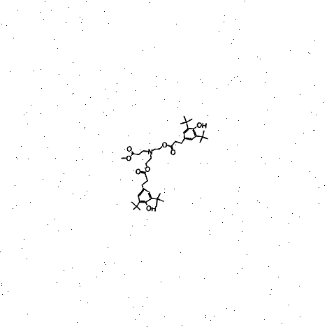 COC(=O)CCN(CCOC(=O)CCc1cc(C(C)(C)C)c(O)c(C(C)(C)C)c1)CCOC(=O)CCc1cc(C(C)(C)C)c(O)c(C(C)(C)C)c1